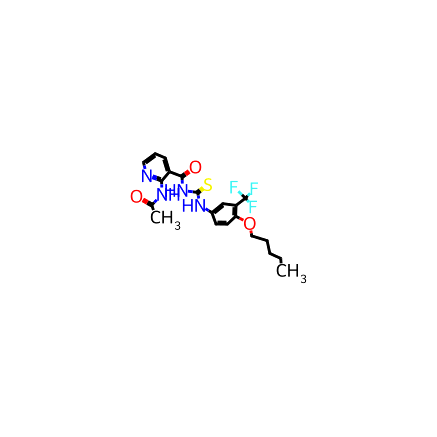 CCCCCOc1ccc(NC(=S)NC(=O)c2cccnc2NC(C)=O)cc1C(F)(F)F